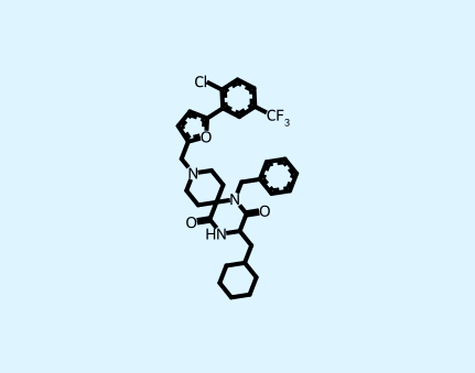 O=C1C(CC2CCCCC2)NC(=O)C2(CCN(Cc3ccc(-c4cc(C(F)(F)F)ccc4Cl)o3)CC2)N1Cc1ccccc1